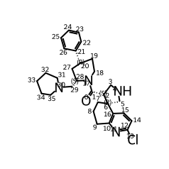 O=C([C@@H]1CNC[C@]12CCCc1nc(Cl)ccc12)N1CC[C@@H](c2ccccc2)C[C@H]1CN1CCCCC1